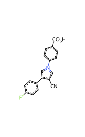 N#Cc1cn(-c2ccc(C(=O)O)cc2)cc1-c1ccc(F)cc1